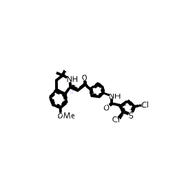 COc1ccc2c(c1)/C(=C/C(=O)c1ccc(NC(=O)c3cc(Cl)sc3Cl)cc1)NC(C)(C)C2